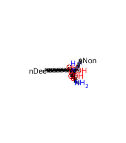 CCCCCCCCC/C=C/C=C/[C@@H](O)[C@H](COP(=O)(O)OCCN)NC(=O)C(O)CCCCCCCCCCCCCCCCCCCCCC